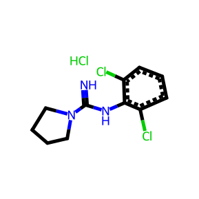 Cl.N=C(Nc1c(Cl)cccc1Cl)N1CCCC1